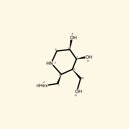 CCCCCCC[C@H]1NC[C@@H](O)[C@@H](O)[C@H]1CO